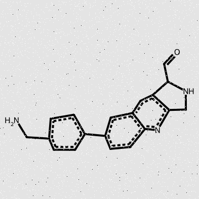 NCc1ccc(-c2ccc3nc4c(cc3c2)C(C=O)NC4)cc1